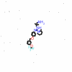 CC1CCCCN1/C(=N\c1ccc(OCc2cccc(OC(F)(F)F)c2)cc1)NCC(C)(C)CN